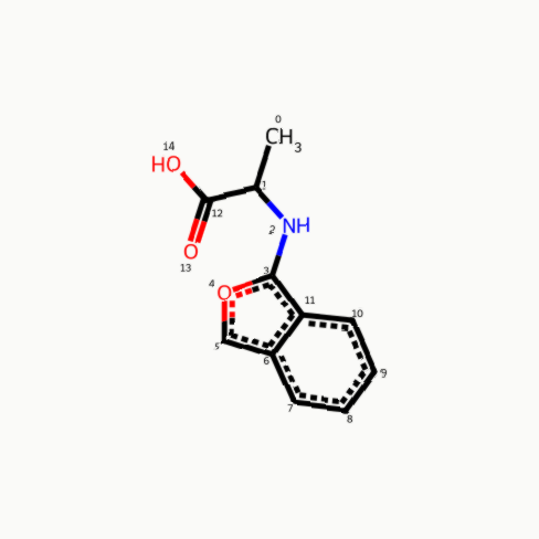 CC(Nc1occ2ccccc12)C(=O)O